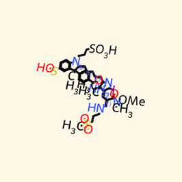 CON(C)C(=O)C(/C=C1\C(I)N=C(/C=C/C=C/C=C2/N(CCCS(=O)(=O)O)c3ccc(SO)cc3C2(C)c2ccc(C(N)=O)cc2)C1(C)C)=C/NCCCS(C)(=O)=O